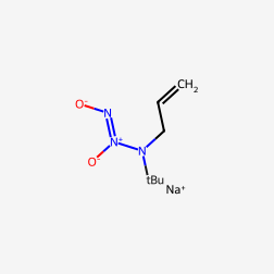 C=CCN([N+]([O-])=N[O-])C(C)(C)C.[Na+]